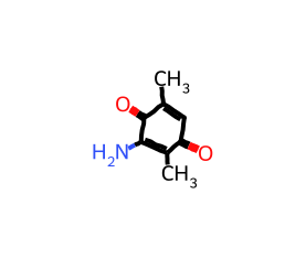 CC1=CC(=O)C(C)=C(N)C1=O